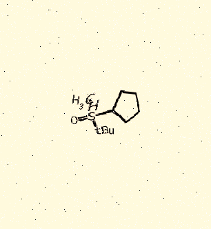 CC(C)(C)[SH](C)(=O)C1CCCC1